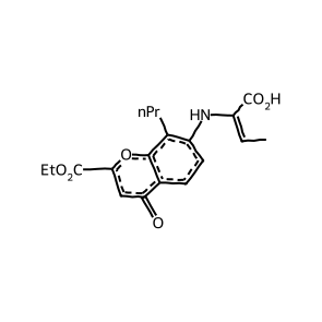 CC=C(Nc1ccc2c(=O)cc(C(=O)OCC)oc2c1CCC)C(=O)O